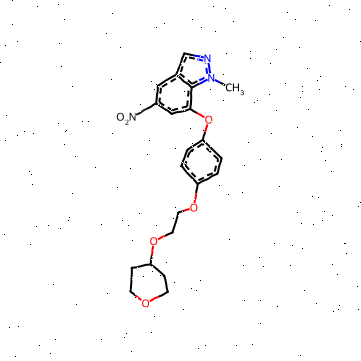 Cn1ncc2cc([N+](=O)[O-])cc(Oc3ccc(OCCOC4CCOCC4)cc3)c21